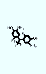 Nc1cc(C(c2cc(N)c(O)cc2F)C(F)(F)F)c(F)cc1O